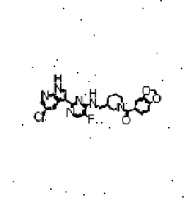 O=C(c1ccc2c(c1)OCO2)N1CCCC(CNc2nc(-c3c[nH]c4ncc(Cl)cc34)ncc2F)C1